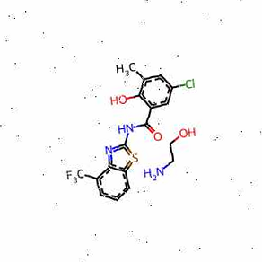 Cc1cc(Cl)cc(C(=O)Nc2nc3c(C(F)(F)F)cccc3s2)c1O.NCCO